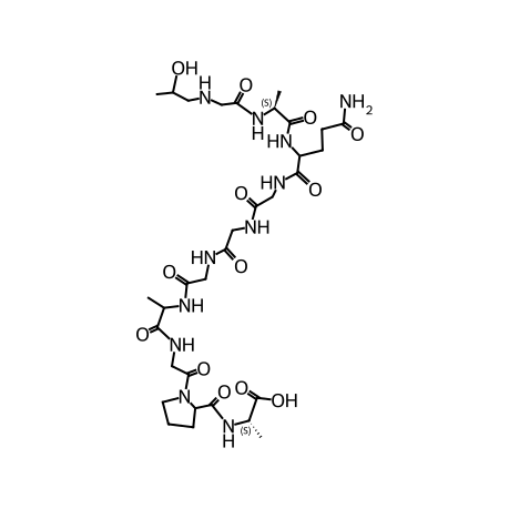 CC(O)CNCC(=O)N[C@@H](C)C(=O)NC(CCC(N)=O)C(=O)NCC(=O)NCC(=O)NCC(=O)NC(C)C(=O)NCC(=O)N1CCCC1C(=O)N[C@@H](C)C(=O)O